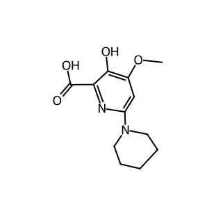 COc1cc(N2CCCCC2)nc(C(=O)O)c1O